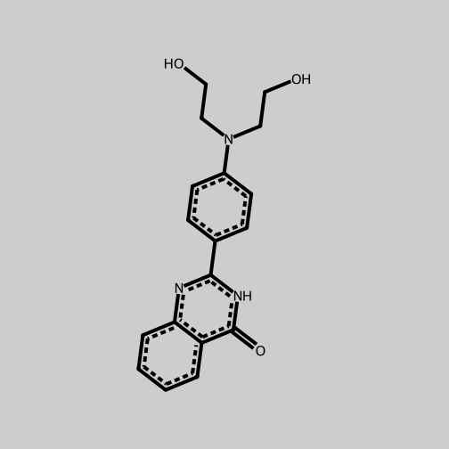 O=c1[nH]c(-c2ccc(N(CCO)CCO)cc2)nc2ccccc12